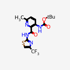 Cc1ccc(NC(=O)OC(C)(C)C)c(C(=O)Nc2nc(C(F)(F)F)cs2)n1